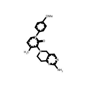 COc1ccc(-n2ccc(C)c(N3CCc4nc(N)ncc4C3)c2=O)cc1